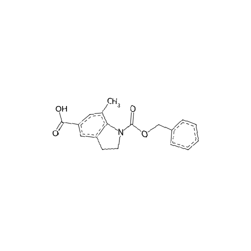 Cc1cc(C(=O)O)cc2c1N(C(=O)OCc1ccccc1)CC2